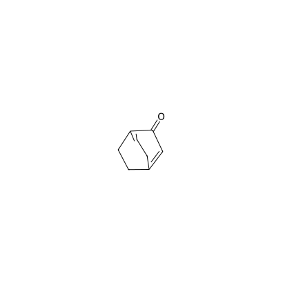 O=C1C=C2CC=C1CC2